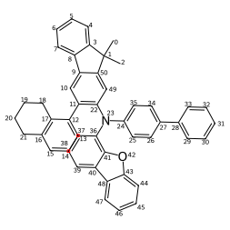 CC1(C)c2ccccc2-c2cc(-c3cccc4c3CCCC4)c(N(c3ccc(-c4ccccc4)cc3)c3cccc4c3oc3ccccc34)cc21